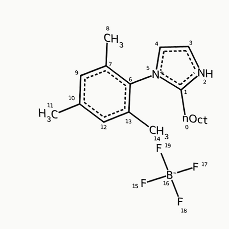 CCCCCCCCc1[nH]cc[n+]1-c1c(C)cc(C)cc1C.F[B-](F)(F)F